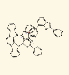 C=C(/C=C(\C=C/C)n1c2ccccc2c2ccc3c4ccccc4n(-c4nc(-c5ccccc5)nc(-c5ccccc5)n4)c3c21)c1ccc(-c2cccc3nc(-c4ccccc4)oc23)cc1